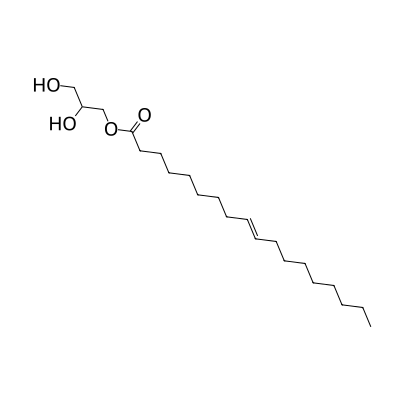 CCCCCCCC/C=C/CCCCCCCC(=O)OCC(O)CO